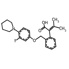 CC(C)=C(C(=O)O)c1ccccc1COc1ccc(N2CCCCC2)c(F)c1